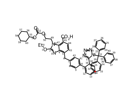 CCOc1nc2c(Cc3ccc(-c4ccccc4-c4nnnn4C(c4ccccc4)(c4ccccc4)c4ccccc4)cc3)ccc(C(=O)O)c2n1CCOC(=O)OC1CCCCC1